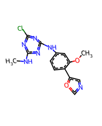 CNc1nc(Cl)nc(Nc2ccc(-c3cnco3)c(OC)c2)n1